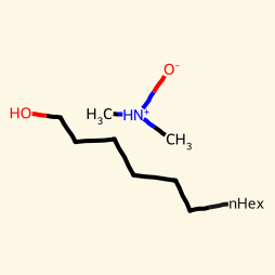 CCCCCCCCCCCCO.C[NH+](C)[O-]